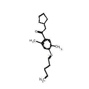 CCCC/C=N/c1cc(C)c(C(=O)CC2CCCC2)cc1C